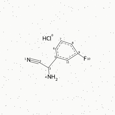 Cl.N#CC(N)c1cccc(F)c1